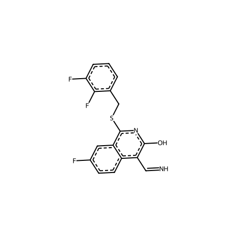 N=Cc1c(O)nc(SCc2cccc(F)c2F)c2cc(F)ccc12